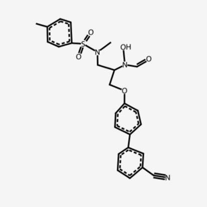 Cc1ccc(S(=O)(=O)N(C)CC(COc2ccc(-c3cccc(C#N)c3)cc2)N(O)C=O)cc1